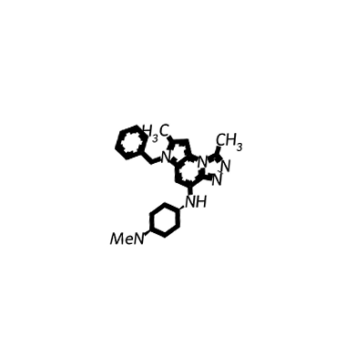 CN[C@H]1CC[C@H](Nc2cc3c(cc(C)n3Cc3ccccc3)n3c(C)nnc23)CC1